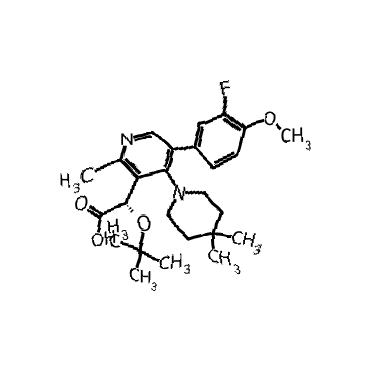 COc1ccc(-c2cnc(C)c([C@H](OC(C)(C)C)C(=O)O)c2N2CCC(C)(C)CC2)cc1F